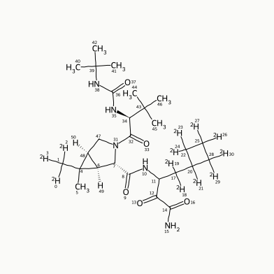 [2H]C([2H])([2H])C1(C)[C@@H]2[C@@H](C(=O)NC(C(=O)C(N)=O)C([2H])([2H])C3([2H])C([2H])([2H])C([2H])([2H])C3([2H])[2H])N(C(=O)[C@@H](NC(=O)NC(C)(C)C)C(C)(C)C)C[C@@H]21